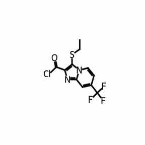 CCSc1c(C(=O)Cl)nc2cc(C(F)(F)F)ccn12